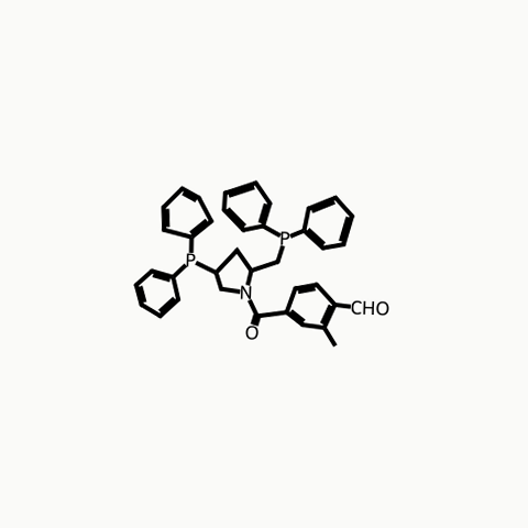 Cc1cc(C(=O)N2CC(P(c3ccccc3)c3ccccc3)CC2CP(c2ccccc2)c2ccccc2)ccc1C=O